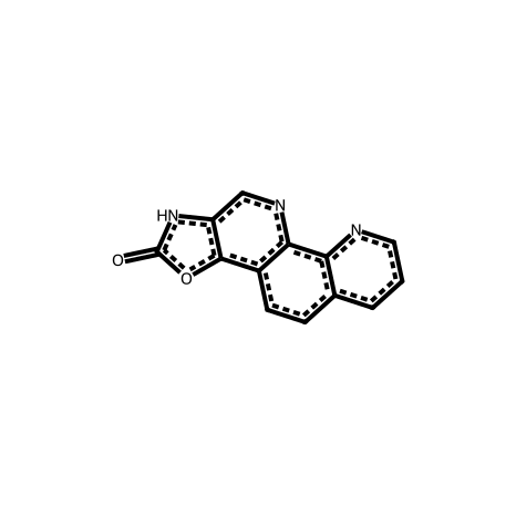 O=c1[nH]c2cnc3c(ccc4cccnc43)c2o1